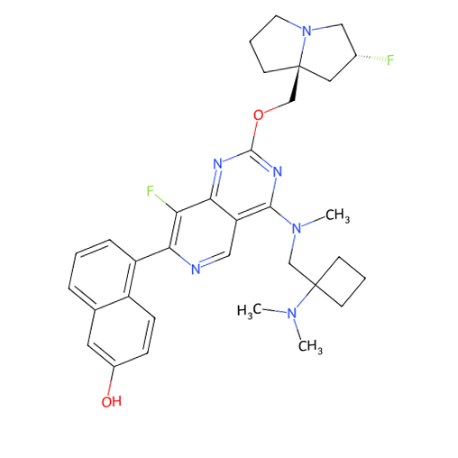 CN(CC1(N(C)C)CCC1)c1nc(OC[C@@]23CCCN2C[C@H](F)C3)nc2c(F)c(-c3cccc4cc(O)ccc34)ncc12